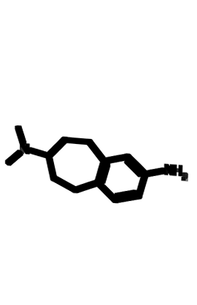 CN(C)C1CCc2ccc(N)cc2CC1